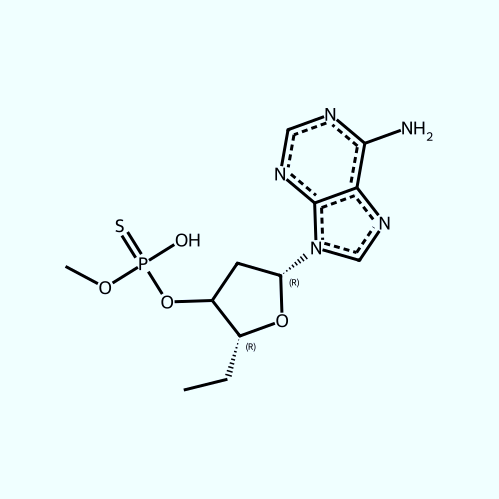 CC[C@H]1O[C@@H](n2cnc3c(N)ncnc32)CC1OP(O)(=S)OC